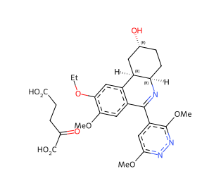 CCOc1cc2c(cc1OC)C(c1cc(OC)nnc1OC)=N[C@@H]1CC[C@@H](O)C[C@H]21.O=C(O)CCC(=O)C(=O)O